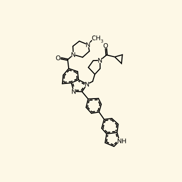 CN1CCN(C(=O)c2ccc3nc(-c4ccc(-c5ccc6[nH]ccc6c5)cc4)n(CC4CCN(C(=O)C5CC5)C4)c3c2)CC1